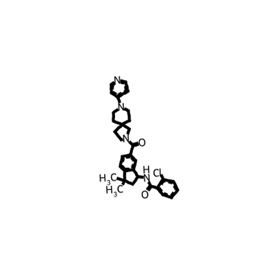 CC1(C)CC(NC(=O)c2ccccc2Cl)c2cc(C(=O)N3CCC4(CCN(c5ccncc5)CC4)C3)ccc21